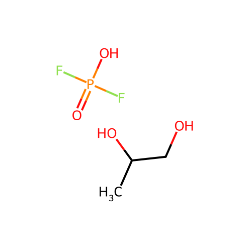 CC(O)CO.O=P(O)(F)F